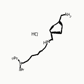 CCCN(CCC)CCCCCNCc1ccc(CN)cc1.Cl